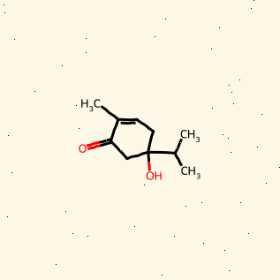 CC1=CCC(O)(C(C)C)CC1=O